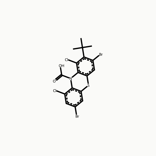 CC(C)(C)c1c(Br)cc2c(c1Cl)N(C(=O)O)c1c(Cl)cc(Br)cc1S2